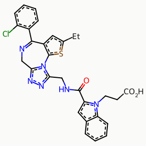 CCc1cc2c(s1)-n1c(nnc1CNC(=O)c1cc3ccccc3n1CCC(=O)O)CN=C2c1ccccc1Cl